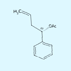 C=CC[C@H](OC(C)=O)c1ccccc1